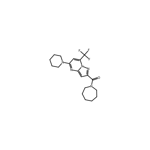 O=C(c1cc2nc(N3CCCCC3)cc(C(F)(F)F)n2n1)N1CCCCCC1